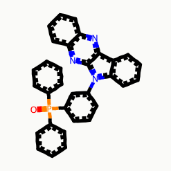 O=P(c1ccccc1)(c1ccccc1)c1cccc(-n2c3ccccc3c3nc4ccccc4nc32)c1